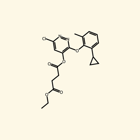 CCOC(=O)CCC(=O)Oc1cc(Cl)nnc1Oc1c(C)cccc1C1CC1